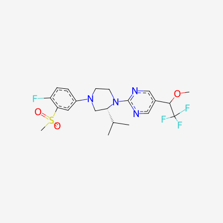 COC(c1cnc(N2CCN(c3ccc(F)c(S(C)(=O)=O)c3)C[C@H]2C(C)C)nc1)C(F)(F)F